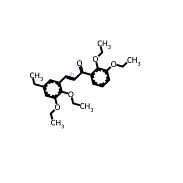 CCOc1cc(CC)cc(/C=C/C(=O)c2cccc(OCC)c2OCC)c1OCC